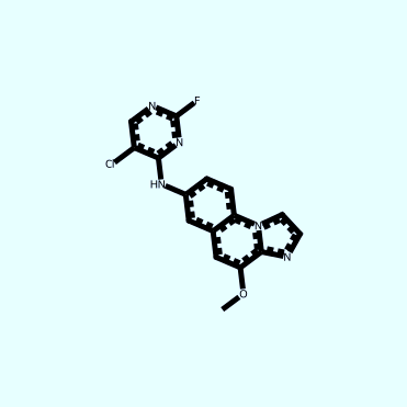 COc1cc2cc(Nc3nc(F)ncc3Cl)ccc2n2ccnc12